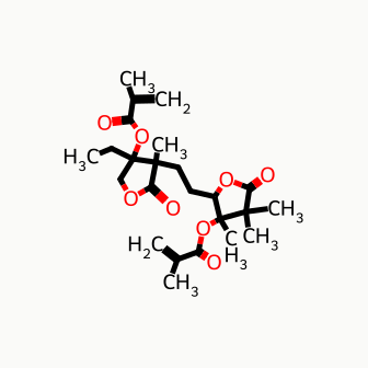 C=C(C)C(=O)OC1(CC)COC(=O)C1(C)CCC1OC(=O)C(C)(C)C1(C)OC(=O)C(=C)C